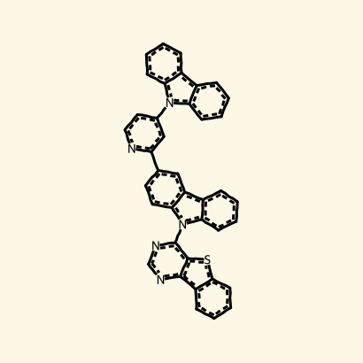 c1ccc2c(c1)sc1c(-n3c4ccccc4c4cc(-c5cc(-n6c7ccccc7c7ccccc76)ccn5)ccc43)ncnc12